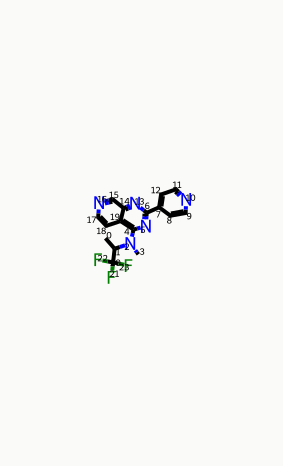 CC(N(C)c1nc(-c2ccncc2)nc2cnccc12)C(F)(F)F